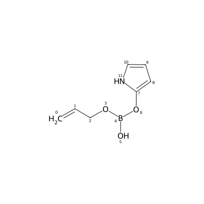 C=CCOB(O)Oc1ccc[nH]1